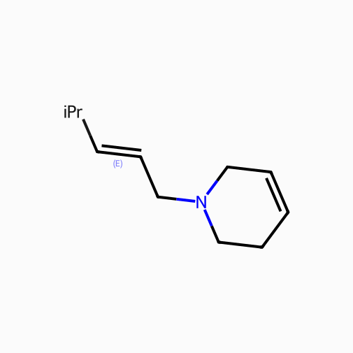 CC(C)/C=C/CN1CC=CCC1